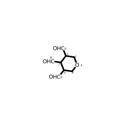 O=CC1COCC(C=O)C1C=O